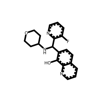 Oc1c(C(NC2CCOCC2)c2ncccc2F)ccc2cccnc12